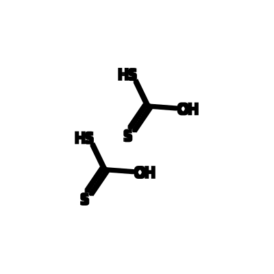 OC(=S)S.OC(=S)S